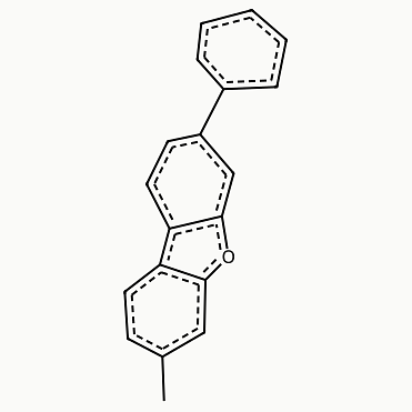 Cc1ccc2c(c1)oc1cc(-c3ccccc3)ccc12